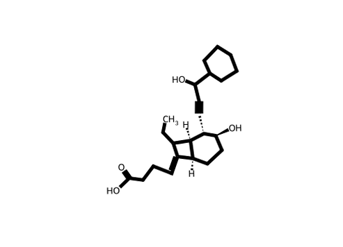 CCC1C(=CCCC(=O)O)[C@@H]2CC[C@H](O)[C@@H](C#CC(O)C3CCCCC3)[C@H]12